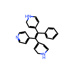 C1=CC(/C(=C(/C2=CCNC=C2)c2ccncc2)c2ccccc2)=CCN1